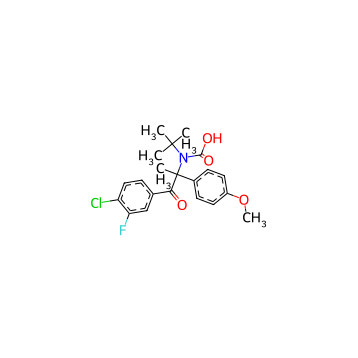 COc1ccc(C(C)(C(=O)c2ccc(Cl)c(F)c2)N(C(=O)O)C(C)(C)C)cc1